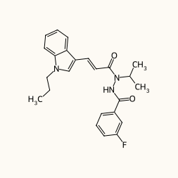 CCCn1cc(/C=C/C(=O)N(NC(=O)c2cccc(F)c2)C(C)C)c2ccccc21